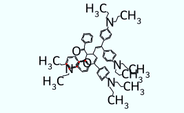 CCCN(CCC)c1ccc(C(=CC(C=C(c2ccc(N(CCC)CCC)cc2)c2ccc(N(CCC)CCC)cc2)C(C(=O)c2ccccc2)C(=O)c2ccccc2)c2ccc(N(CCC)CCC)cc2)cc1